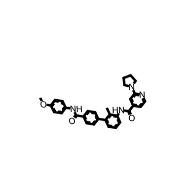 COc1ccc(NC(=O)c2ccc(-c3cccc(NC(=O)c4ccnc(N5CCCC5)c4)c3C)cc2)cc1